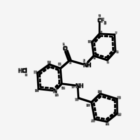 Cl.O=C(Nc1cccc(C(F)(F)F)c1)c1cccnc1NCc1ccccc1